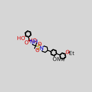 CCOc1cccc(-c2ccc(C3CCN(S(=O)(=O)C(C)(CO)CNC(=O)c4ccccc4O)CC3)cc2OC)c1